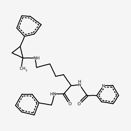 CC1(NCCCCC(NC(=O)c2ccccn2)C(=O)NCc2ccccc2)CC1c1ccccc1